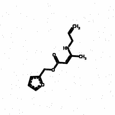 C=CCNC(C)=CC(=O)OCc1ccco1